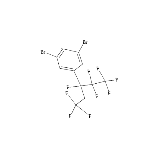 FC(F)(F)CC(F)(c1cc(Br)[c]c(Br)c1)C(F)(F)C(F)(F)F